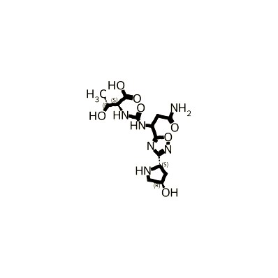 C[C@@H](O)[C@H](NC(=O)NC(CC(N)=O)c1nc([C@@H]2C[C@@H](O)CN2)no1)C(=O)O